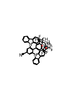 CC(C)(C)c1ccc2c3ccccc3n(-c3cc(C#N)cc(-n4c5ccccc5c5ccc(C(C)(C)C)cc54)c3-c3cc(C(F)(F)F)cc(C(F)(F)F)c3)c2c1